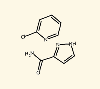 Clc1ccccn1.NC(=O)c1cc[nH]n1